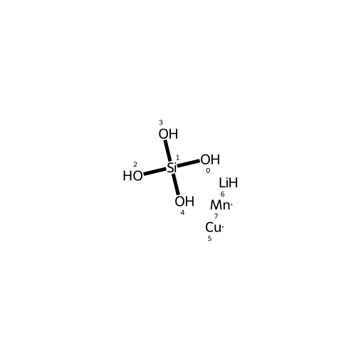 O[Si](O)(O)O.[Cu].[LiH].[Mn]